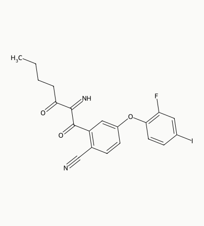 CCCCC(=O)C(=N)C(=O)c1cc(Oc2ccc(I)cc2F)ccc1C#N